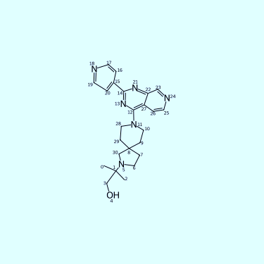 CC(C)(CO)N1CCC2(CCN(c3nc(-c4ccncc4)nc4cnccc34)CC2)C1